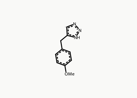 COc1ccc(Cc2[c]nn[nH]2)cc1